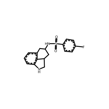 O=S(=O)(NC1Cc2cccc3c2C(CN3)C1)c1ccc(F)cc1